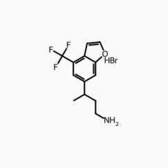 Br.CC(CCN)c1cc(C(F)(F)F)c2ccoc2c1